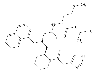 CSCCC(NC(=O)CN(Cc1cccc2ccccc12)C[C@@H]1CCCCN1C(=O)Cc1c[nH]cn1)C(=O)OC(C)C